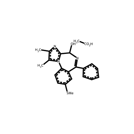 CC(=O)O.CSc1ccc2c(c1)C(c1ccccc1)=NC(O)c1nc(C)c(C)n1-2